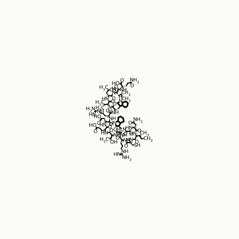 CC[C@H](C)[C@H](NC(=O)[C@H](CC(N)=O)NC(=O)[C@H](C)N)C(=O)N[C@@H](CS)C(=O)N[C@@H](CCCNC(=N)N)C(=O)N[C@@H](Cc1c[nH]c2ccccc12)C(=O)N[C@H](C(=O)N[C@@H](CCC(=O)O)C(=O)N[C@@H](CC(=O)O)C(=O)N[C@@H](CCCNC(=N)N)C(=O)N[C@@H](Cc1c[nH]c2ccccc12)C(=O)N[C@H](C(=O)N[C@@H](CC(C)C)C(=O)N[C@@H](CC(C)C)C(=O)N[C@@H](CCC(N)=O)C(=O)O)C(C)C)[C@@H](C)O